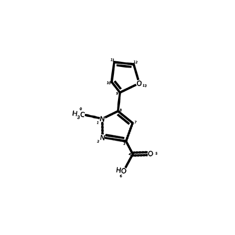 Cn1nc(C(=O)O)cc1-c1ccco1